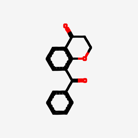 O=C1CCOc2c1cccc2C(=O)c1ccccc1